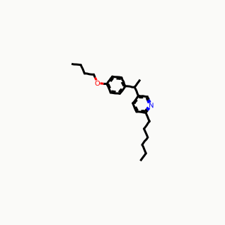 CCCCCCc1ccc(C(C)c2ccc(OCCCC)cc2)cn1